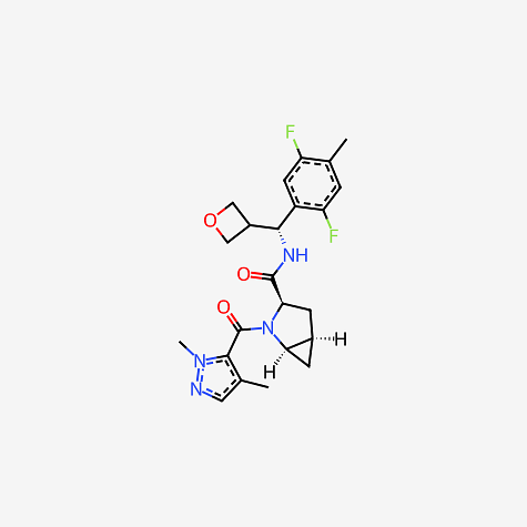 Cc1cc(F)c([C@H](NC(=O)[C@H]2C[C@H]3C[C@H]3N2C(=O)c2c(C)cnn2C)C2COC2)cc1F